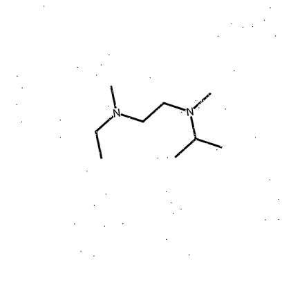 CCN(C)CCN(C)C(C)C